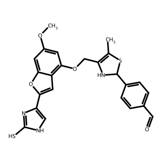 COc1cc(OCC2=C(C)SC(c3ccc(C=O)cc3)N2)c2cc(-c3c[nH]c(S)n3)oc2c1